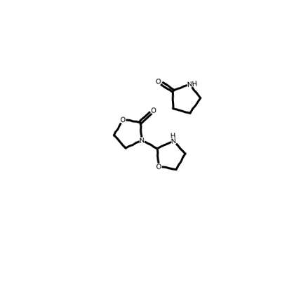 O=C1CCCN1.O=C1OCCN1C1NCCO1